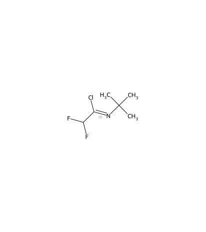 CC(C)(C)/N=C(\Cl)C(F)F